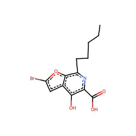 CCCCCc1nc(C(=O)O)c(O)c2cc(Br)oc12